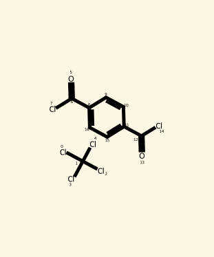 ClC(Cl)(Cl)Cl.O=C(Cl)c1ccc(C(=O)Cl)cc1